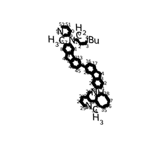 C=C(/C=C\C(C)CC)N(c1ccc2c(c1)-c1cc(-c3ccc4c(c3)-c3cc(NCc5cccnc5/C5=C(C)/C=C\C=C/CC5)ccc3C4)ccc1C2)c1cccnc1C